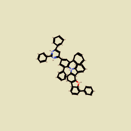 C1#CCC(c2cc(-c3cc(-c4ccccc4)nc(-c4ccccc4)n3)cc(-c3ccccc3)c2-n2c3c(c4ccccc42)-c2oc4c(-c5ccccc5)cccc4c2CC3)=CC=C1